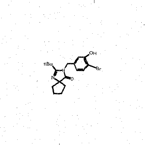 CCCCC1=NC2(CCCC2)C(=O)N1Cc1ccc(Br)c(O)c1